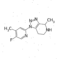 Cc1cc(-n2nnc3c2CCNC3C)ncc1F